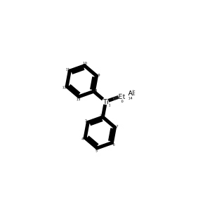 C[CH2][Ti]([c]1ccccc1)[c]1ccccc1.[Al]